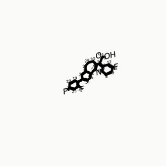 O=C(O)c1c2c(nc3ccc(F)cc13)-c1ccc(-c3ccc(F)cc3F)cc1CCC2